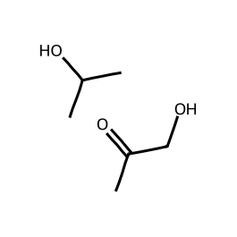 CC(=O)CO.CC(C)O